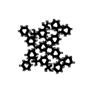 CC(C)(C)c1cc(N2c3cc(-n4c5ccccc5c5ccccc54)ccc3B3c4ccc(-n5c6ccccc6c6ccccc65)cc4N(c4cc(C(C)(C)C)cc(C(C)(C)C)c4)c4cc(N(c5ccc(-c6ccccc6)cc5)c5ccc(-c6ccccc6)cc5)cc2c43)cc(C(C)(C)C)c1